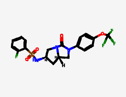 O=C1N(c2ccc(OC(F)(F)F)cc2)C[C@@H]2C[C@@H](NS(=O)(=O)c3ccccc3F)CN12